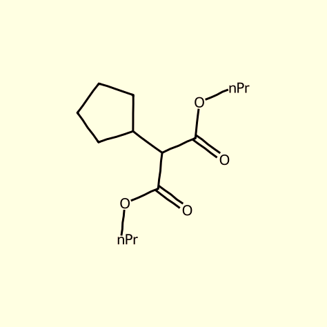 CCCOC(=O)C(C(=O)OCCC)C1CCCC1